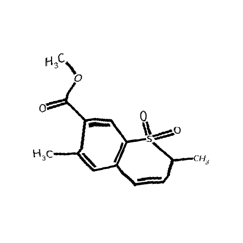 COC(=O)c1cc2c(cc1C)C=CC(C)S2(=O)=O